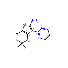 CC1(C)CCc2sc(N)c(-c3ncccn3)c2C1